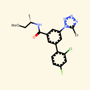 CCc1nnnn1-c1cc(C(=O)N[C@@H](C)COC)cc(-c2ccc(F)cc2Cl)c1